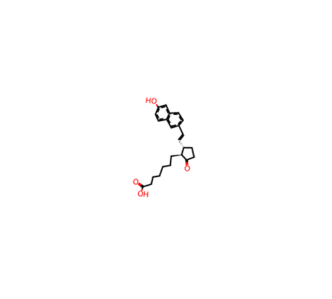 O=C(O)CCCCCC[C@@H]1C(=O)CC[C@H]1C=Cc1ccc2cc(O)ccc2c1